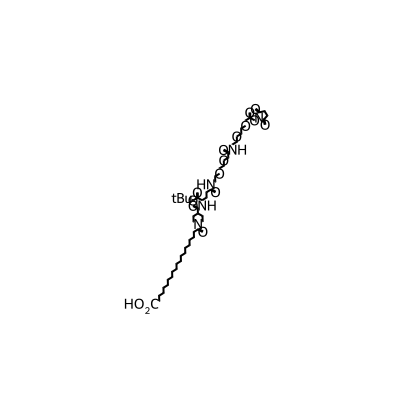 CC(C)(C)OC(=O)C(CCC(=O)NCCOCCOCC(=O)NCCOCCOCC(=O)ON1C(=O)CCC1=O)NC(=O)C1CCN(C(=O)CCCCCCCCCCCCCCCCCCC(=O)O)CC1